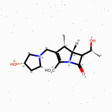 C[C@@H](O)C1C(=O)N2C(C(=O)O)=C(CN3CC[C@H](O)C3)[C@H](C)[C@H]12